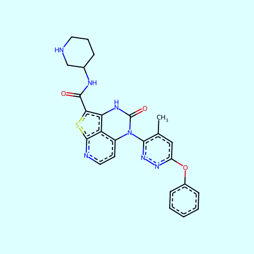 Cc1cc(Oc2ccccc2)nnc1N1C(=O)Nc2c(C(=O)NC3CCCNC3)sc3nccc1c23